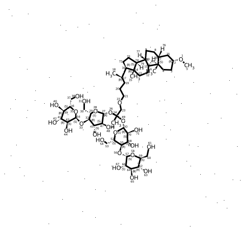 CO[C@@H]1CC[C@@]2(C)[C@H](CC[C@@H]3[C@@H]2CC[C@]2(C)[C@@H]([C@H](C)CCCOCC(C)(O[C@H]4O[C@@H](CO)[C@H](O[C@@H]5O[C@@H](CO)[C@H](O)[C@@H](O)[C@@H]5O)[C@@H](O)[C@@H]4O)O[C@H]4O[C@@H](CO)[C@H](O[C@@H]5O[C@@H](CO)[C@H](O)[C@@H](O)[C@@H]5O)[C@@H](O)[C@@H]4O)CC[C@@H]32)C1